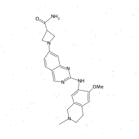 COc1cc2c(cc1Nc1ncc3ccc(N4CC(C(N)=O)C4)cc3n1)CN(C)CC2